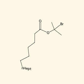 CCCCCCCCCCCCC(=O)OC(C)(C)Br